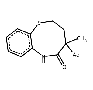 CC(=O)C1(C)CCSc2ccccc2NC1=O